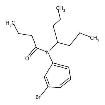 CCCC(=O)N(c1cccc(Br)c1)C(CCC)CCC